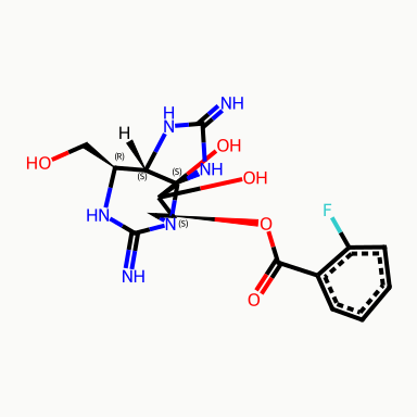 N=C1N[C@H]2[C@H](CO)NC(=N)N3C[C@H](OC(=O)c4ccccc4F)C(O)(O)[C@]23N1